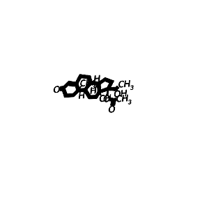 CC(=O)O[C@]1(C(C)O)CC[C@H]2[C@@H]3CCC4=CC(=O)CC[C@]4(C)[C@H]3CC[C@@]21C